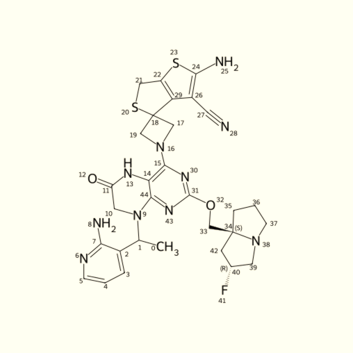 CC(c1cccnc1N)N1CC(=O)Nc2c(N3CC4(C3)SCc3sc(N)c(C#N)c34)nc(OC[C@@]34CCCN3C[C@H](F)C4)nc21